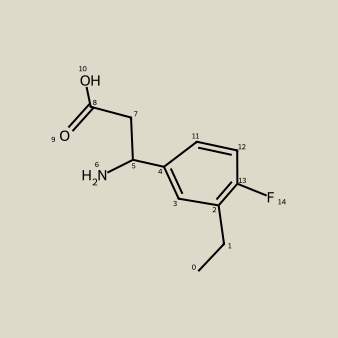 CCc1cc(C(N)CC(=O)O)ccc1F